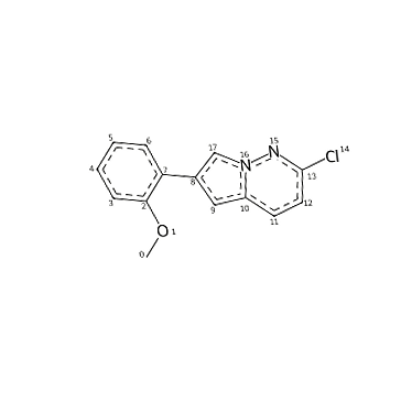 COc1ccccc1-c1cc2ccc(Cl)nn2c1